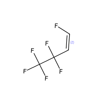 F/C=C\C(F)(F)C(F)(F)F